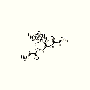 C=CC(=O)OCC(=O)OC(=O)C=C.[CH2][CH2].[CH2][CH2].[CH2][CH2]